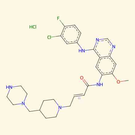 COc1cc2ncnc(Nc3ccc(F)c(Cl)c3)c2cc1NC(=O)/C=C/CN1CCC(CN2CCNCC2)CC1.Cl